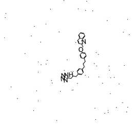 c1ccc2nc(COc3ccc(CCCc4ccc(CCCc5nnn[nH]5)cc4)cc3)ccc2c1